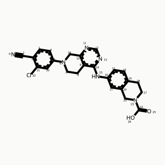 N#Cc1ccc(N2CCc3c(ncnc3Nc3ccc4c(c3)CN(C(=O)O)CC4)C2)cc1Cl